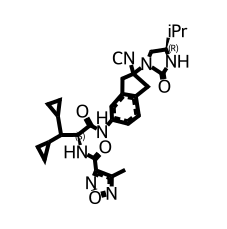 Cc1nonc1C(=O)N[C@H](C(=O)Nc1ccc2c(c1)CC(C#N)(N1C[C@@H](C(C)C)NC1=O)C2)C(C1CC1)C1CC1